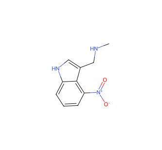 CNCc1c[nH]c2cccc([N+](=O)[O-])c12